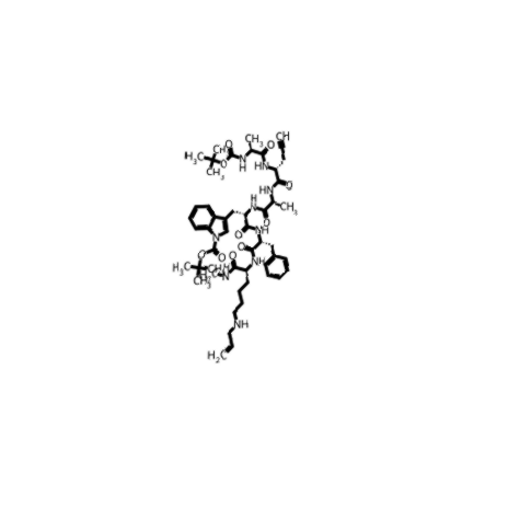 C#CC[C@@H](NC(=O)[C@H](C)NC(=O)OC(C)(C)C)C(=O)N[C@@H](C)C(=O)N[C@@H](Cc1cn(C(=O)OC(C)(C)C)c2ccccc12)C(=O)N[C@H](Cc1ccccc1)C(=O)N[C@@H](CCCCNCC=C)C(=O)NC